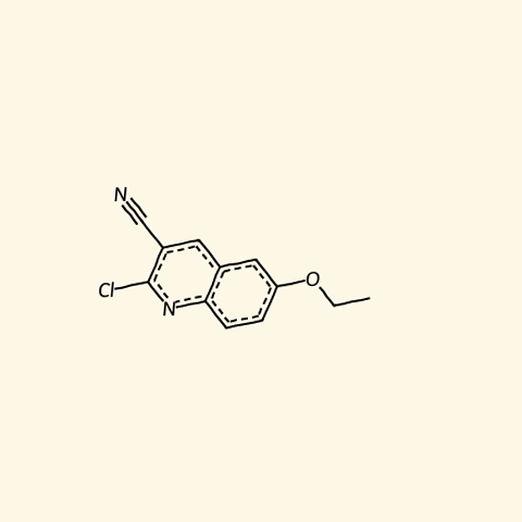 CCOc1ccc2nc(Cl)c(C#N)cc2c1